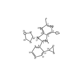 Cc1nc(Cl)c2nc(-c3ccccc3C3CC3)n([C@@H]3CCOC3)c2n1